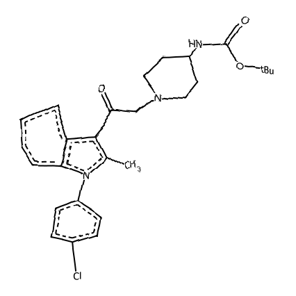 Cc1c(C(=O)CN2CCC(NC(=O)OC(C)(C)C)CC2)c2ccccc2n1-c1ccc(Cl)cc1